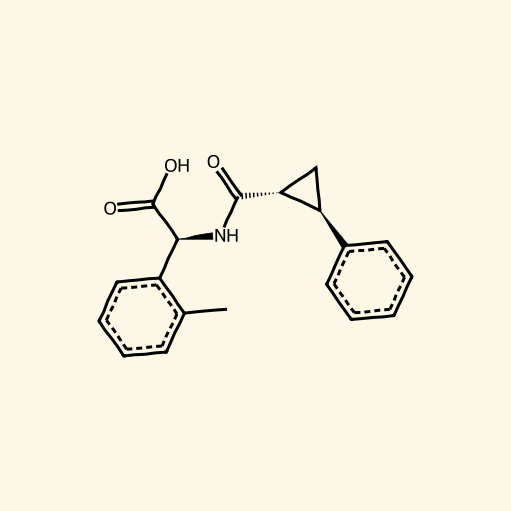 Cc1ccccc1[C@H](NC(=O)[C@@H]1C[C@H]1c1ccccc1)C(=O)O